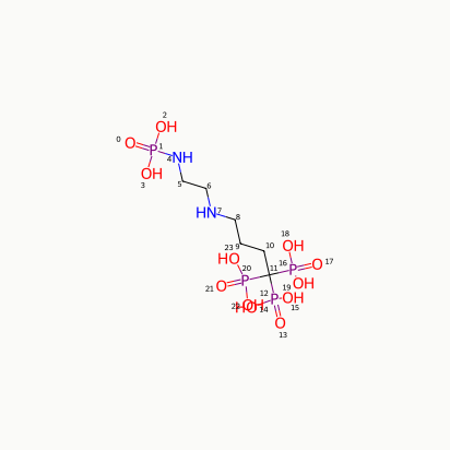 O=P(O)(O)NCCNCCCC(P(=O)(O)O)(P(=O)(O)O)P(=O)(O)O